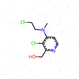 CN(CCCl)c1ccnc(CO)c1Cl